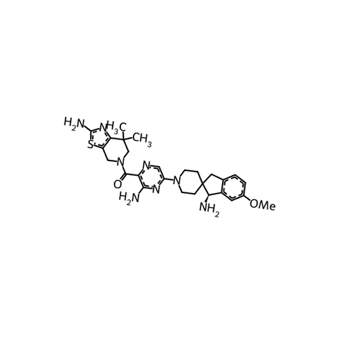 COc1ccc2c(c1)[C@@H](N)C1(CCN(c3cnc(C(=O)N4Cc5sc(N)nc5C(C)(C)C4)c(N)n3)CC1)C2